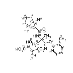 Cc1cccnc1OCC(C)(C)NC(=O)C1[C@H]2CNC[C@@H]12.O=C(O)C(O)C(O)C(=O)O